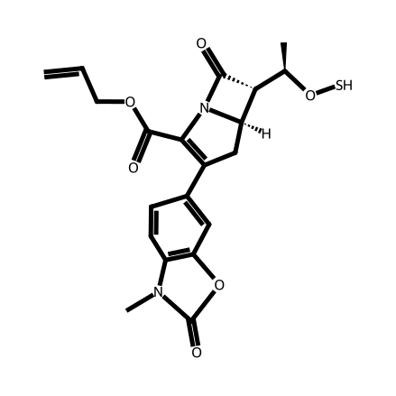 C=CCOC(=O)C1=C(c2ccc3c(c2)oc(=O)n3C)C[C@@H]2[C@@H]([C@@H](C)OS)C(=O)N12